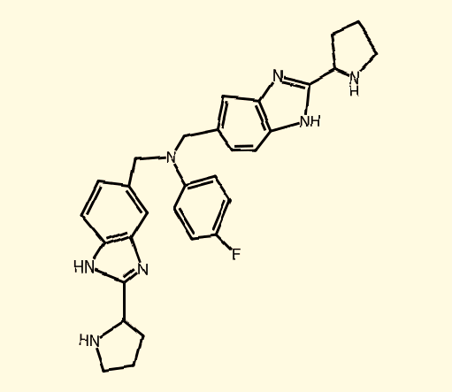 Fc1ccc(N(Cc2ccc3[nH]c(C4CCCN4)nc3c2)Cc2ccc3[nH]c(C4CCCN4)nc3c2)cc1